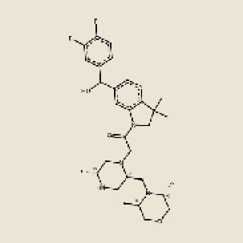 C[C@@H]1CN(CC(=O)N2CC(C)(C)c3ncc(C(O)c4ccc(F)c(F)c4)cc32)[C@@H](CN2[C@H](C)COC[C@H]2C)CN1